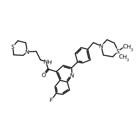 CS1(C)CCN(Cc2ccc(-c3cc(C(=O)NCCN4CCSCC4)c4cc(F)ccc4n3)cc2)CC1